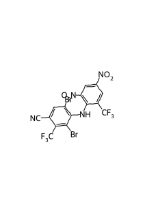 N#Cc1cc(Br)c(Nc2c([N+](=O)[O-])cc([N+](=O)[O-])cc2C(F)(F)F)c(Br)c1C(F)(F)F